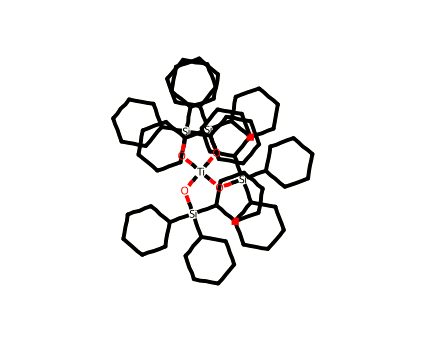 C1CCC([Si]([O][Ti]([O][Si](C2CCCCC2)(C2CCCCC2)C2CCCCC2)([O][Si](C2CCCCC2)(C2CCCCC2)C2CCCCC2)[O][Si](C2CCCCC2)(C2CCCCC2)C2CCCCC2)(C2CCCCC2)C2CCCCC2)CC1